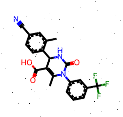 CC1=C(C(=O)O)C(c2ccc(C#N)cc2C)NC(=O)N1c1cccc(C(F)(F)F)c1